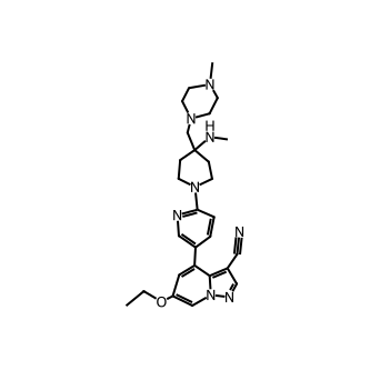 CCOc1cc(-c2ccc(N3CCC(CN4CCN(C)CC4)(NC)CC3)nc2)c2c(C#N)cnn2c1